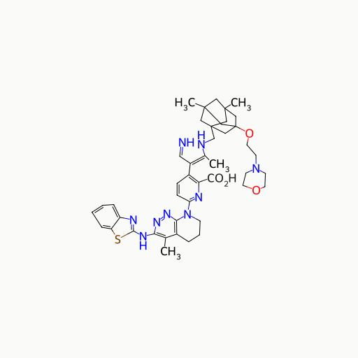 C/C(NCC12CC3(C)CC(C)(C1)CC(OCCN1CCOCC1)(C3)C2)=C(/C=N)c1ccc(N2CCCc3c2nnc(Nc2nc4ccccc4s2)c3C)nc1C(=O)O